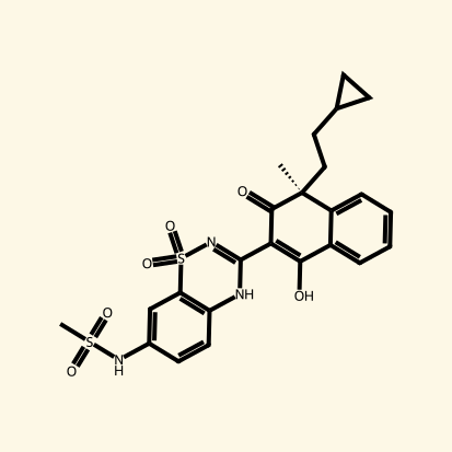 C[C@@]1(CCC2CC2)C(=O)C(C2=NS(=O)(=O)c3cc(NS(C)(=O)=O)ccc3N2)=C(O)c2ccccc21